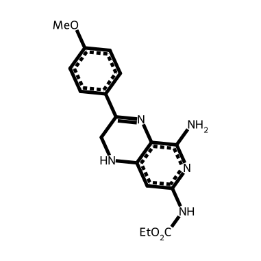 CCOC(=O)Nc1cc2c(c(N)n1)N=C(c1ccc(OC)cc1)CN2